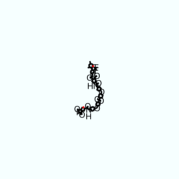 Cc1ccc(-c2ccc(N3C(=O)c4ccc(C(=O)Nc5ccc(Oc6ccc(S(=O)(=O)c7ccc(Oc8ccc(NC(=O)c9ccc%10c(c9)C(=O)N(C)C%10=O)cc8)cc7)cc6)cc5)cc4C3=O)cc2C(F)(F)F)c(C)c1